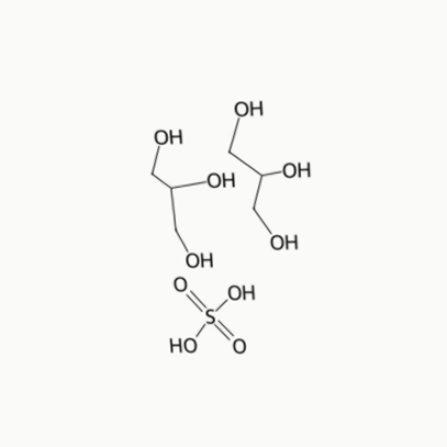 O=S(=O)(O)O.OCC(O)CO.OCC(O)CO